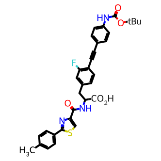 Cc1ccc(-c2nc(C(=O)NC(Cc3ccc(C#Cc4ccc(NC(=O)OC(C)(C)C)cc4)c(F)c3)C(=O)O)cs2)cc1